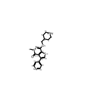 Cn1nc(OCC2CCNCC2)c2scc(-c3ccncc3)c2c1=O